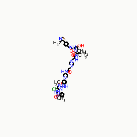 COc1cc(N2CCC(NC(=O)CCN3CCN(CCC(=O)N[C@H](C(=O)N4C[C@H](O)C[C@H]4C(=O)NCc4ccc(-c5scnc5C)cc4)C(C)(C)C)CC3)CC2)ccc1Nc1ncc(Cl)c(Nc2ccccc2P(C)(C)=O)n1